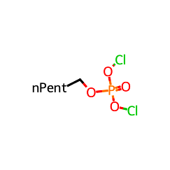 CCCCCCOP(=O)(OCl)OCl